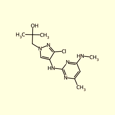 CNc1cc(C)nc(Nc2cn(CC(C)(C)O)nc2Cl)n1